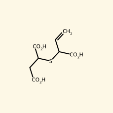 C=CC(SC(CC(=O)O)C(=O)O)C(=O)O